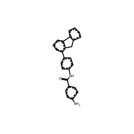 Nc1ccc(C(=O)Nc2ccc(-c3cccc4c3Cc3ccccc3-4)cc2)cc1